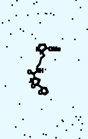 COc1ccnn1CCCCNC(=O)c1cc(-c2ccco2)on1